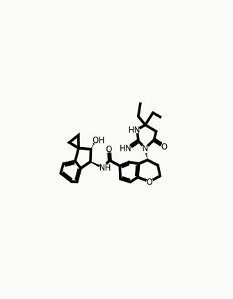 CCC1(CC)CC(=O)N([C@@H]2CCOc3ccc(C(=O)N[C@H]4c5ccccc5C5(CC5)[C@@H]4O)cc32)C(=N)N1